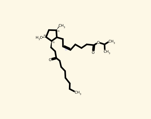 CCCCCCCC(=O)CC[C@@H]1C(C/C=C\CCCC(=O)OC(C)C)[C@@H](C)C[C@H]1C